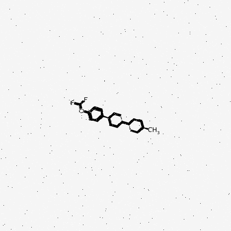 C[C@H]1CC[C@H]([C@H]2CC[C@H](c3ccc(OC(F)F)cc3)CC2)CC1